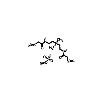 CCCCCCCCCCCC(=O)NCC[N+](C)(C)CCNC(=O)CCCCCCCCCCC.COS(=O)(=O)[O-]